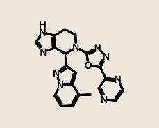 Cc1cccn2nc([C@H]3c4nc[nH]c4CCN3c3nnc(-c4cnccn4)o3)cc12